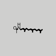 CC(C)=CCC/C(C)=C/CC/C(C)=C/CNC(=O)I